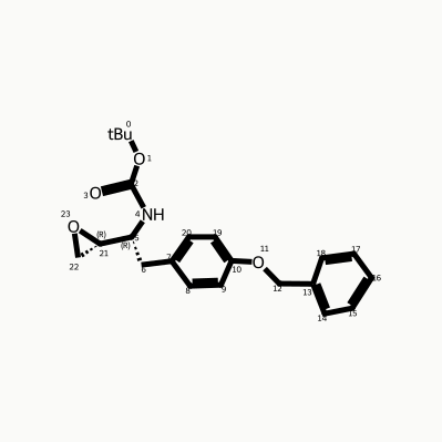 CC(C)(C)OC(=O)N[C@H](Cc1ccc(OCc2ccccc2)cc1)[C@@H]1CO1